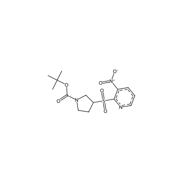 CC(C)(C)OC(=O)N1CCC(S(=O)(=O)c2ncccc2[N+](=O)[O-])C1